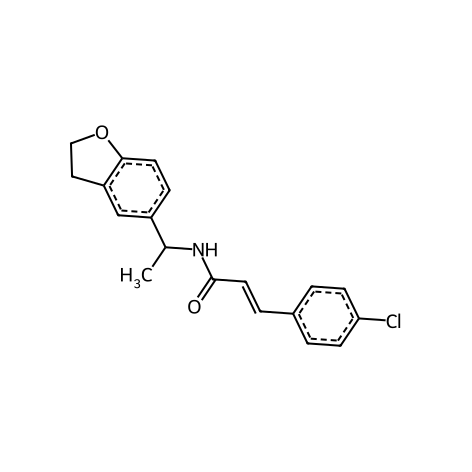 CC(NC(=O)C=Cc1ccc(Cl)cc1)c1ccc2c(c1)CCO2